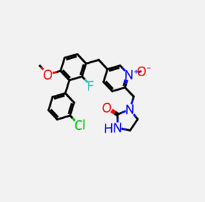 COc1ccc(Cc2ccc(CN3CCNC3=O)[n+]([O-])c2)c(F)c1-c1cccc(Cl)c1